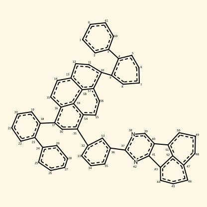 c1ccc(-c2ccccc2-c2ccc3ccc4c(-c5ccccc5-c5ccccc5)cc(-c5cccc(-c6ncc7c(n6)-c6cccc8cccc-7c68)c5)c5ccc2c3c54)cc1